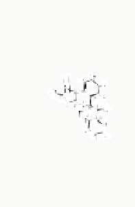 O=C1CC(C[C@H](C(=O)c2ccccc2F)c2ccccc2)CN1